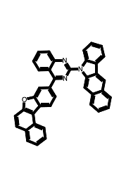 c1ccc2cc3c(cc2c1)c1ccccc1n3-c1nc(-c2ccc3c(c2)oc2ccc4ccccc4c23)c2ccccc2n1